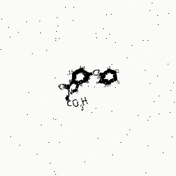 O=C(O)CN1Cc2cc(Oc3ccccc3)ccc2C1=O